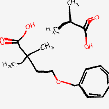 CC(C)(CCOc1ccccc1)C(=O)O.CC(C)C(=O)O